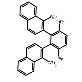 CC(C)c1ccc(C(C)C)c(-c2ccc3ccccc3c2N)c1-c1ccc2ccccc2c1N